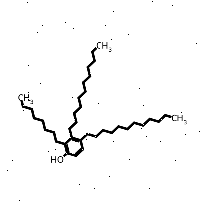 CCCCCCCCCCCCc1ccc(O)c(CCCCCCCC)c1CCCCCCCCCCCC